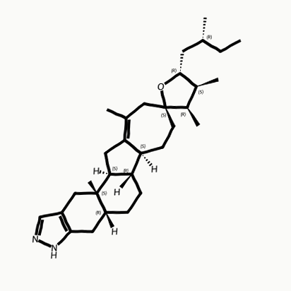 CC[C@@H](C)C[C@H]1O[C@]2(CC[C@@H]3C(=C(C)C2)C[C@H]2[C@H]3CC[C@@H]3Cc4[nH]ncc4C[C@@]32C)[C@H](C)[C@@H]1C